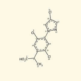 CC(C(=O)O)c1cc(Cl)c(-n2cc(Cl)cn2)cc1Cl